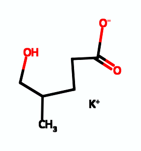 CC(CO)CCC(=O)[O-].[K+]